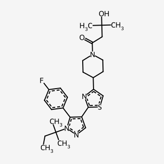 CCC(C)(C)n1ncc(-c2nc(C3CCN(C(=O)CC(C)(C)O)CC3)cs2)c1-c1ccc(F)cc1